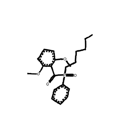 CCCCCCP(=O)(C(=O)c1c(OC)cccc1OC)c1ccccc1